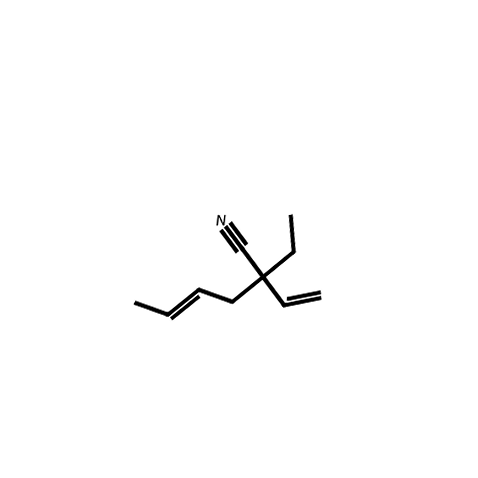 C=CC(C#N)(CC)CC=CC